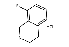 Cl.Fc1cccc2c1CNCC2